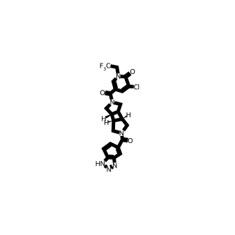 O=C(c1cc(Cl)c(=O)n(CC(F)(F)F)c1)N1CC2[C@@H](C1)[C@@H]1CN(C(=O)c3ccc4[nH]nnc4c3)C[C@H]21